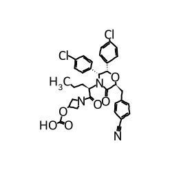 CCC[C@H](C(=O)N1CC(OC(=O)O)C1)N1C(=O)[C@H](Cc2ccc(C#N)cc2)O[C@@H](c2ccc(Cl)cc2)[C@H]1c1ccc(Cl)cc1